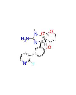 C[C@H]1OCCC2Oc3ccc(-c4cccnc4F)cc3[C@]3(N=C(N)N(C)C3=O)[C@@H]21